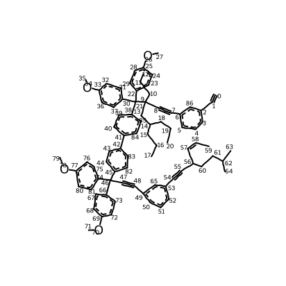 C#Cc1cccc(C#CC(CCC)(CC(CCC)CCC)C(c2ccc(OC)cc2)(c2ccc(OC)cc2)c2ccc(-c3ccc(C(C#Cc4cccc(C#CC(/C=C\C)CCC(C)C)c4)(c4ccc(OC)cc4)c4ccc(OC)cc4)cc3)cc2)c1